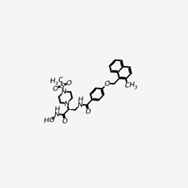 Cc1ccc2ccccc2c1COc1ccc(C(=O)NC[C@@H](C(=O)NO)N2CCN(S(C)(=O)=O)CC2)cc1